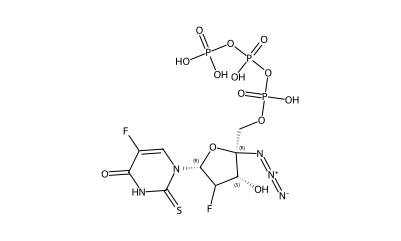 [N-]=[N+]=N[C@]1(COP(=O)(O)OP(=O)(O)OP(=O)(O)O)O[C@@H](n2cc(F)c(=O)[nH]c2=S)C(F)[C@H]1O